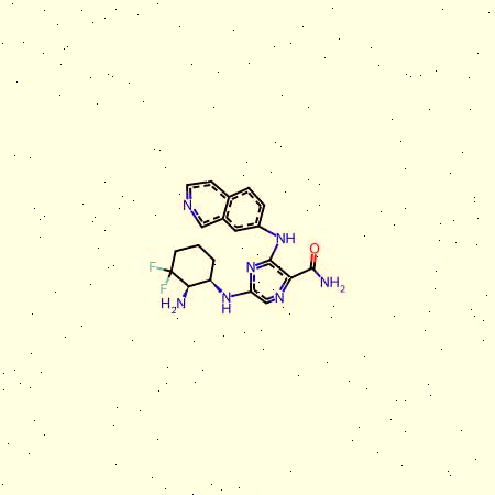 NC(=O)c1ncc(N[C@@H]2CCCC(F)(F)[C@@H]2N)nc1Nc1ccc2ccncc2c1